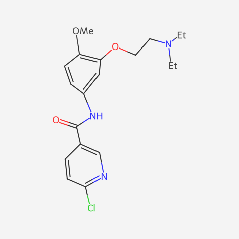 CCN(CC)CCOc1cc(NC(=O)c2ccc(Cl)nc2)ccc1OC